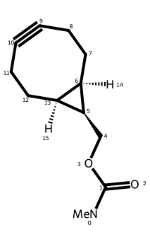 CNC(=O)OC[C@@H]1[C@@H]2CCC#CCC[C@@H]21